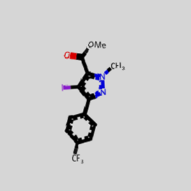 COC(=O)c1c(I)c(-c2ccc(C(F)(F)F)cc2)nn1C